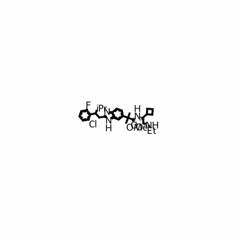 CCNC(=O)[C@H](NC(=O)C(C)(COC)c1ccc2nc(CC(c3c(F)cccc3Cl)C(C)C)[nH]c2c1)C1CCC1